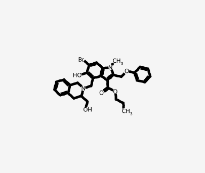 CCCOC(=O)c1c(COc2ccccc2)n(C)c2cc(Br)c(O)c(CN3Cc4ccccc4CC3CO)c12